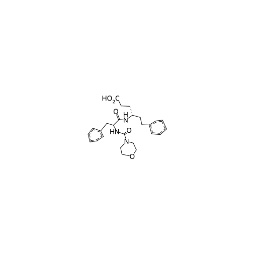 O=C(O)CC[C@H](CCc1ccccc1)NC(=O)C(Cc1ccccc1)NC(=O)N1CCOCC1